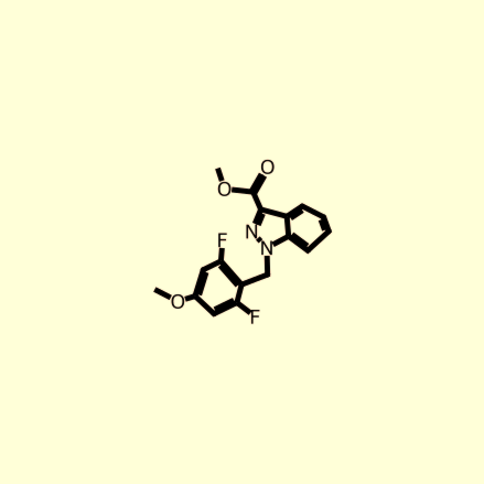 COC(=O)c1nn(Cc2c(F)cc(OC)cc2F)c2ccccc12